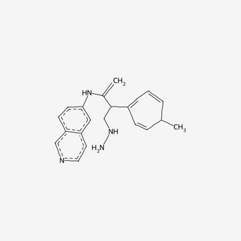 C=C(Nc1ccc2cnccc2c1)C(CNN)C1=CC=CC(C)C=C1